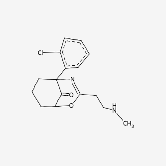 CNCCC1=NC2(c3ccccc3Cl)CCCC(O1)C2=O